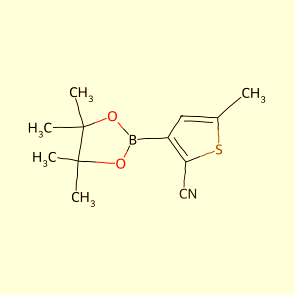 Cc1cc(B2OC(C)(C)C(C)(C)O2)c(C#N)s1